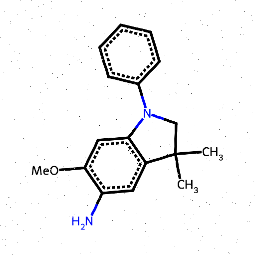 COc1cc2c(cc1N)C(C)(C)CN2c1ccccc1